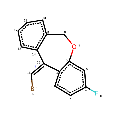 Fc1ccc2c(c1)OCc1ccccc1/C2=C/Br